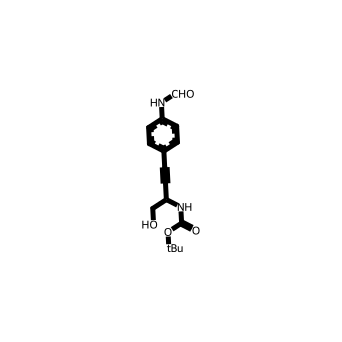 CC(C)(C)OC(=O)NC(C#Cc1ccc(NC=O)cc1)CO